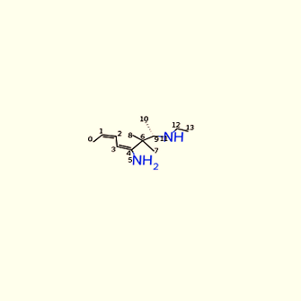 C/C=C\C=C(\N)C(C)(C)[C@H](C)NCC